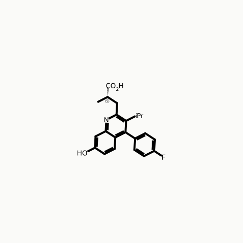 CC(C)c1c(C[C@H](C)C(=O)O)nc2cc(O)ccc2c1-c1ccc(F)cc1